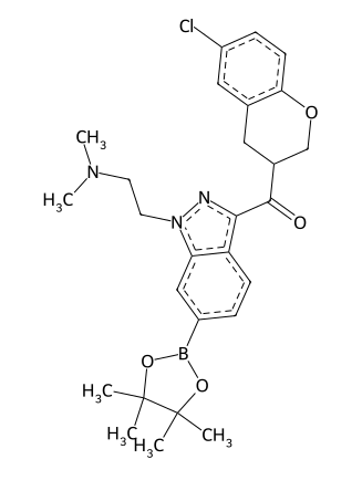 CN(C)CCn1nc(C(=O)C2COc3ccc(Cl)cc3C2)c2ccc(B3OC(C)(C)C(C)(C)O3)cc21